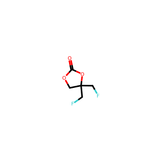 O=C1OCC(CF)(CF)O1